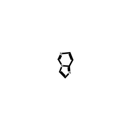 [c]1nccc2nccn12